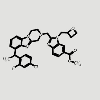 COC(=O)c1ccc2nc(CN3CCn4c(nc5c(C(C)c6ccc(Cl)cc6F)cccc54)C3)n(CC3CCO3)c2c1